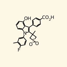 Cc1cc(-n2c(C3(C)CS(=O)(=O)C3)c(-c3ccc(C(=O)O)cc3)c3c(O)cccc32)ccc1F